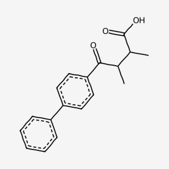 CC(C(=O)O)C(C)C(=O)c1ccc(-c2ccccc2)cc1